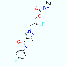 CC(C)(C)NC(=O)OCC(=CF)Cn1cc2c(n1)CCN(c1ccc(F)cc1)C2=O